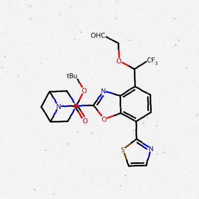 CC(C)(C)OC(=O)N1C2CC1CN(c1nc3c(C(OCC=O)C(F)(F)F)ccc(-c4nccs4)c3o1)C2